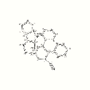 N#Cc1cccc(-c2ccccc2-n2c3ccccc3c3ncccc32)c1-c1ccccc1